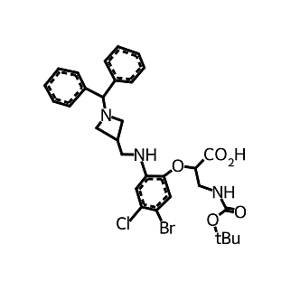 CC(C)(C)OC(=O)NCC(Oc1cc(Br)c(Cl)cc1NCC1CN(C(c2ccccc2)c2ccccc2)C1)C(=O)O